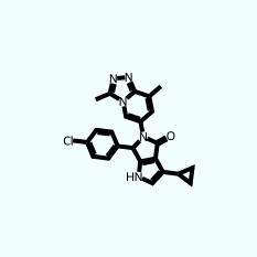 Cc1cc(N2C(=O)c3c(C4CC4)c[nH]c3C2c2ccc(Cl)cc2)cn2c(C)nnc12